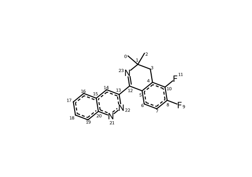 CC1(C)Cc2c(ccc(F)c2F)C(c2cc3ccccc3nn2)=N1